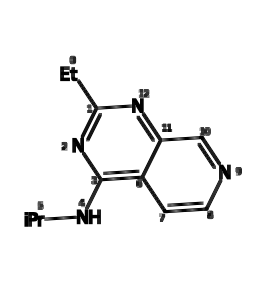 CCc1nc(NC(C)C)c2ccncc2n1